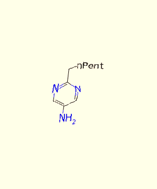 CCCCCCc1ncc(N)cn1